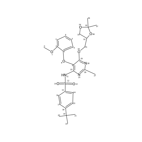 COc1ccccc1Oc1c(NS(=O)(=O)c2ccc(C(C)(C)C)cc2)nc(C)nc1OCC1COC(C)(C)O1